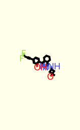 COC1(C)CC(Nc2nnc(-c3ccc(C#CC(F)F)cc3O)c3c2CCCC3)C1